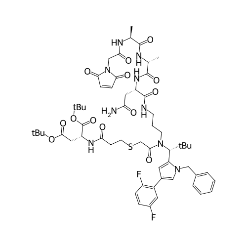 C[C@H](NC(=O)CN1C(=O)C=CC1=O)C(=O)N[C@H](C)C(=O)N[C@@H](CC(N)=O)C(=O)NCCCN(C(=O)CSCCC(=O)N[C@H](CC(=O)OC(C)(C)C)C(=O)OC(C)(C)C)[C@@H](c1cc(-c2cc(F)ccc2F)cn1Cc1ccccc1)C(C)(C)C